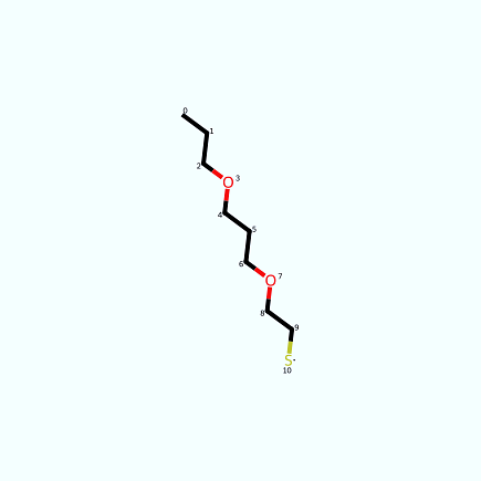 CCCOCCCOCC[S]